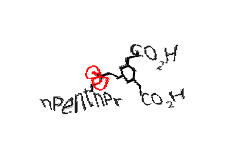 CCCCCC(CCC)COC(=O)CCC1CC(CCC(=O)O)CC(CCC(=O)O)C1